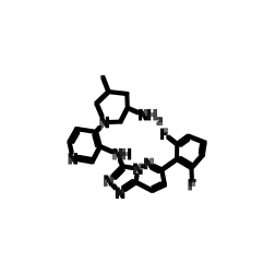 CC1CC(N)CN(c2ccncc2Nc2nnc3ccc(-c4c(F)cccc4F)nn23)C1